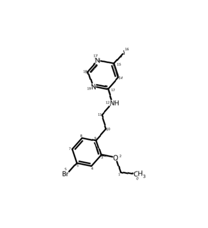 CCOc1cc(Br)ccc1CCNc1cc(I)ncn1